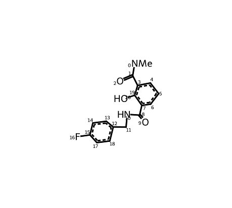 CNC(=O)c1cccc(C(=O)NCc2ccc(F)cc2)c1O